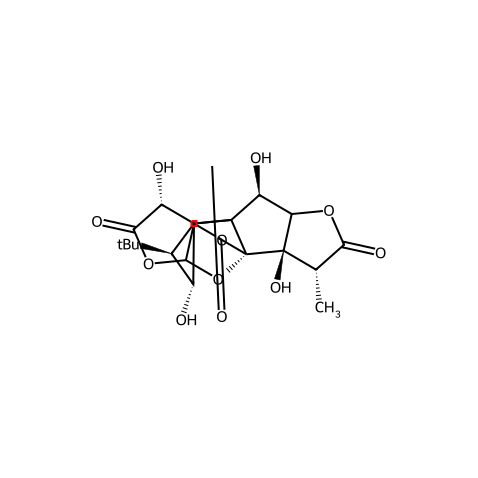 C[C@H]1C(=O)OC2[C@H](O)C34C5OC(=O)[C@]3(OC3OC(=O)[C@H](O)C34[C@H](C(C)(C)C)[C@H]5O)[C@]21O